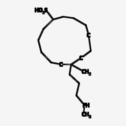 CPCCCC1(C)CCCCCCC(S(=O)(=O)O)CCCCC1